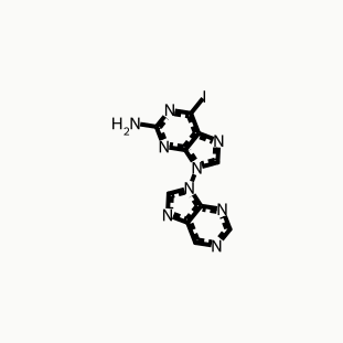 Nc1nc(I)c2ncn(-n3cnc4cncnc43)c2n1